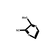 CSc1nccnc1C#N